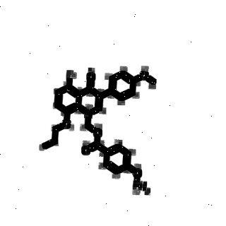 CCCOc1ccc(F)c2c(=O)c(-c3ccc(OC)cc3)cn(COC(=O)c3ccc(OP)cc3)c12